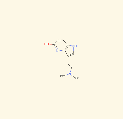 CC(C)N(CCc1c[nH]c2ccc(O)nc12)C(C)C